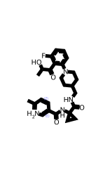 C=C(C)/C=C\C(=C/N)C(=O)NC1(C(=O)NCC2CCN(c3cccc(F)c3C(=O)C(C)O)CC2)CC1